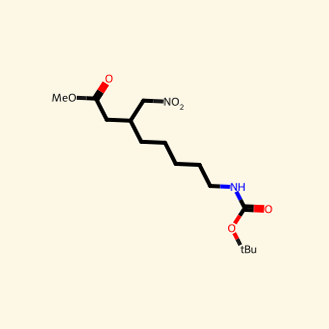 COC(=O)CC(CCCCCNC(=O)OC(C)(C)C)C[N+](=O)[O-]